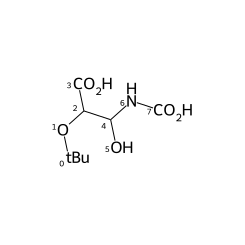 CC(C)(C)OC(C(=O)O)C(O)NC(=O)O